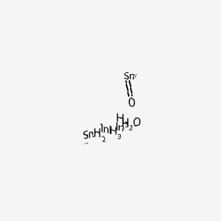 O.[InH3].[InH3].[O]=[Sn].[SnH2]